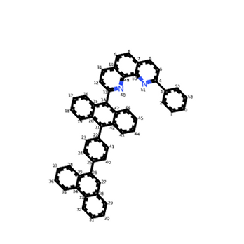 c1ccc(-c2ccc3ccc4ccc(-c5c6ccccc6c(-c6ccc(-c7cc8ccccc8c8ccccc78)cc6)c6ccccc56)nc4c3n2)cc1